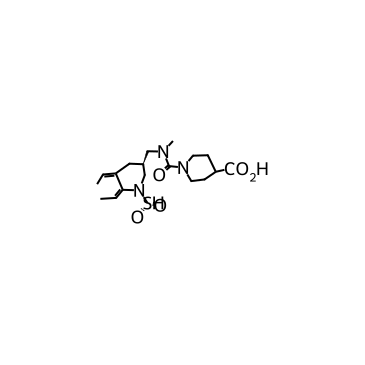 C/C=C1/C[C@@H](CN(C)C(=O)N2CCC(C(=O)O)CC2)CN([SH](=O)=O)/C1=C/C